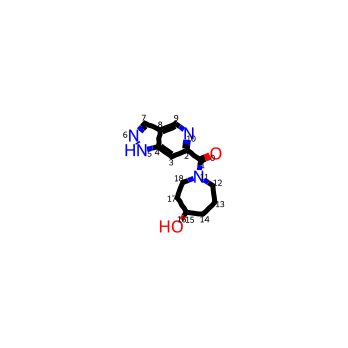 O=C(c1cc2[nH]ncc2cn1)N1CCCC(O)CC1